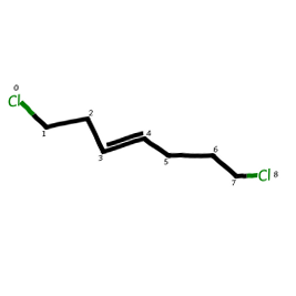 ClCCC=CCCCCl